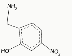 NCc1ccc([N+](=O)[O-])cc1O